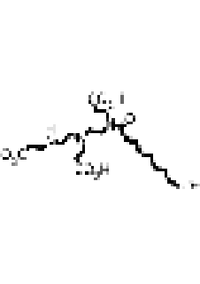 CCCCCCCCCCCCCCCC=CC(=O)N(CCC(=O)O)CCN(CCNCCC(=O)O)CCC(=O)O